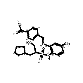 CCC(CC1CCCC1)S(=O)(=O)Nc1ccc(C)cc1OCc1ccc(C(=O)O)cc1